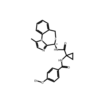 CCOc1ccc(C(=O)NC2(C(=O)N[C@@H]3CCc4ccccc4-n4c(C)cnc43)CC2)cc1